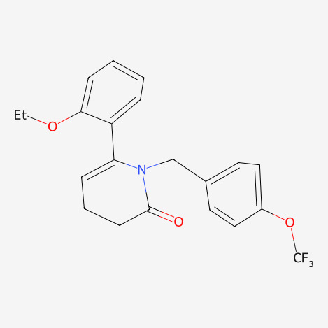 CCOc1ccccc1C1=CCCC(=O)N1Cc1ccc(OC(F)(F)F)cc1